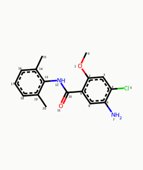 COc1cc(Cl)c(N)cc1C(=O)Nc1c(C)cccc1C